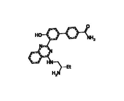 CC[C@H](N)CNc1nc(-c2cc(-c3ccc(C(N)=O)cc3)ccc2O)nc2ccccc12